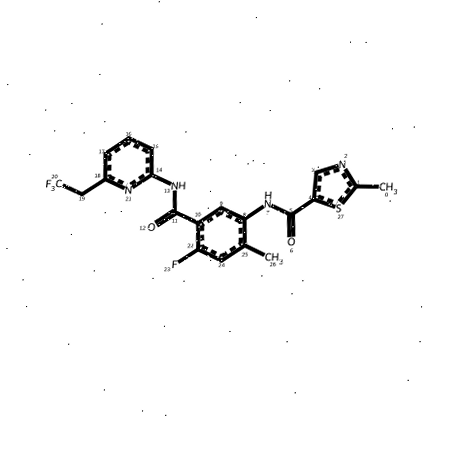 Cc1ncc(C(=O)Nc2cc(C(=O)Nc3cccc(CC(F)(F)F)n3)c(F)cc2C)s1